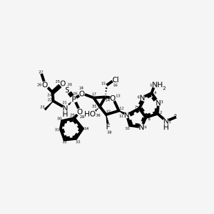 CNc1nc(N)nc2c1ncn2[C@@H]1O[C@]2(CCl)C(O[P@@](=S)(N[C@@H](C)C(=O)OC)Oc3ccccc3)[C@]2(O)[C@@H]1F